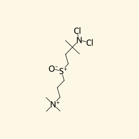 CC(C)(CC[S+]([O-])CCC[N+](C)(C)C)N(Cl)Cl